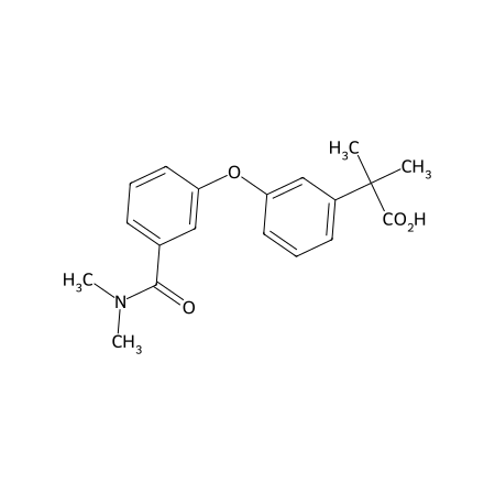 CN(C)C(=O)c1cccc(Oc2cccc(C(C)(C)C(=O)O)c2)c1